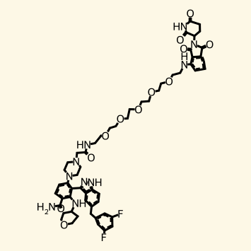 NC(=O)c1ccc(N2CCN(CC(=O)NCCOCCOCCOCCOCCOCCNc3cccc4c3C(=O)N(C3CCC(=O)NC3=O)C4=O)CC2)c(-c2n[nH]c3ccc(Cc4cc(F)cc(F)c4)cc23)c1NC1CCOCC1